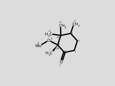 CC1CCC(=O)[C@](C)(OC(C)(C)C)C1(C)C